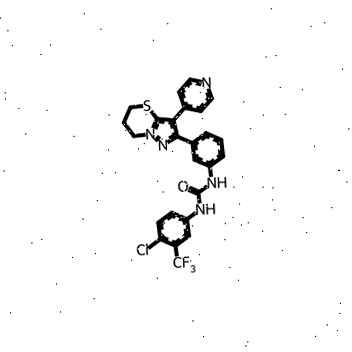 O=C(Nc1cccc(-c2nn3c(c2-c2ccncc2)SCCC3)c1)Nc1ccc(Cl)c(C(F)(F)F)c1